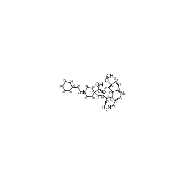 COc1ccc2ncc(CN)c(C(F)CCC3(C(=O)O)CCN(CCC4CCCCC4)CC3)c2c1